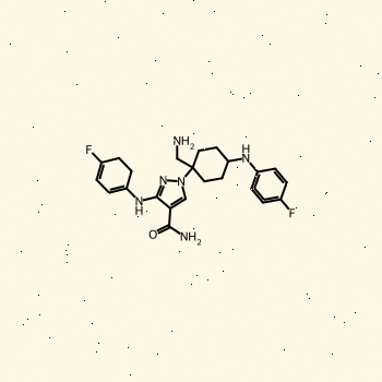 NCC1(n2cc(C(N)=O)c(NC3=CC=C(F)CC3)n2)CCC(NC2=C=C=C(F)C=C2)CC1